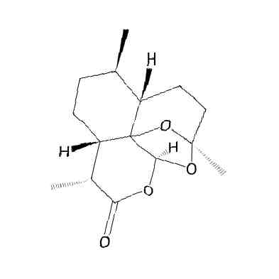 C[C@@H]1CC[C@H]2[C@@H](C)C(=O)O[C@@H]3O[C@]4(C)CC[C@@H]1C32O4